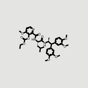 CCOC(=O)Oc1c(OC)ccnc1C(=O)N[C@@H](CC(C)C)C(=O)N[C@@H](C)C(c1ccc(OC)c(OC)c1)c1ccc(OC)c(OC)c1